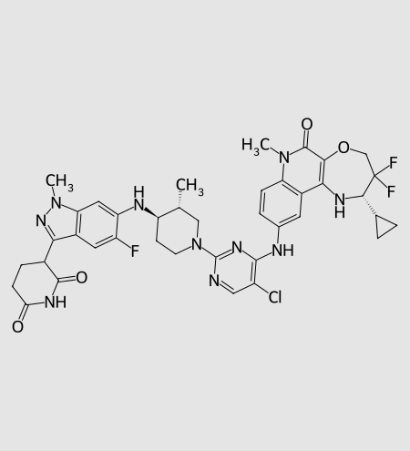 C[C@@H]1CN(c2ncc(Cl)c(Nc3ccc4c(c3)c3c(c(=O)n4C)OCC(F)(F)[C@H](C4CC4)N3)n2)CC[C@H]1Nc1cc2c(cc1F)c(C1CCC(=O)NC1=O)nn2C